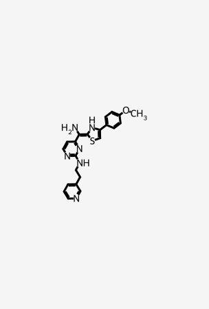 COc1ccc(C2=CS/C(=C(/N)c3ccnc(NCCc4cccnc4)n3)N2)cc1